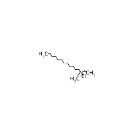 CCCCCCCCCCCC[N+](Cl)(CC)CC